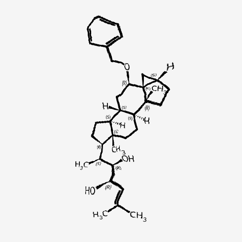 CC(C)=C[C@@H](O)[C@H](O)[C@@H](C)[C@H]1CC[C@H]2[C@@H]3C[C@@H](OCc4ccccc4)[C@]45C[C@@H]4CC[C@]5(C)[C@H]3CC[C@]12C